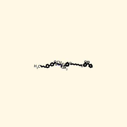 C=C/C(=C\C=C(/C)OC(=O)C1CCC(C2CCC(CCCCC)CC2)CC1)OC(=O)c1ccc(OCCCCCCCCOc2ccc(C(=O)c3ccccc3)c(O)c2)cc1